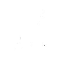 C[N+](Cc1ccccc1)(Cc1ccccc1)c1ccccc1.F[P-](F)(F)(F)(F)F.[F][Sb-]([F])([F])([F])([F])[F]